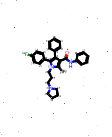 CC(C)c1c(C(=O)Nc2ccccc2)c(-c2ccccc2)c(-c2ccc(F)cc2)n1CCCN1CCCC1